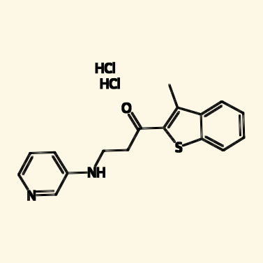 Cc1c(C(=O)CCNc2cccnc2)sc2ccccc12.Cl.Cl